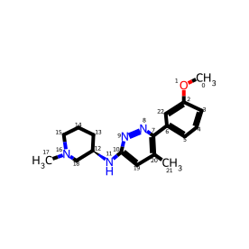 COc1cccc(-c2nnc(N[C@@H]3CCCN(C)C3)cc2C)c1